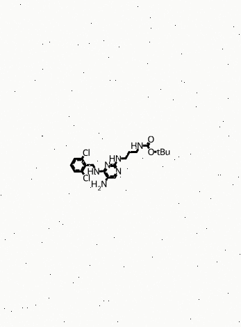 CC(C)(C)OC(=O)NCCCNc1ncc(N)c(NCc2c(Cl)cccc2Cl)n1